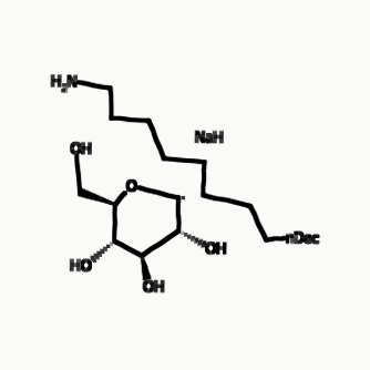 CCCCCCCCCCCCCCCCCCN.OC[C@H]1O[CH][C@H](O)[C@@H](O)[C@@H]1O.[NaH]